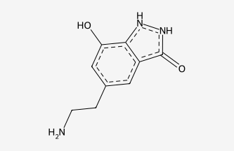 NCCc1cc(O)c2[nH][nH]c(=O)c2c1